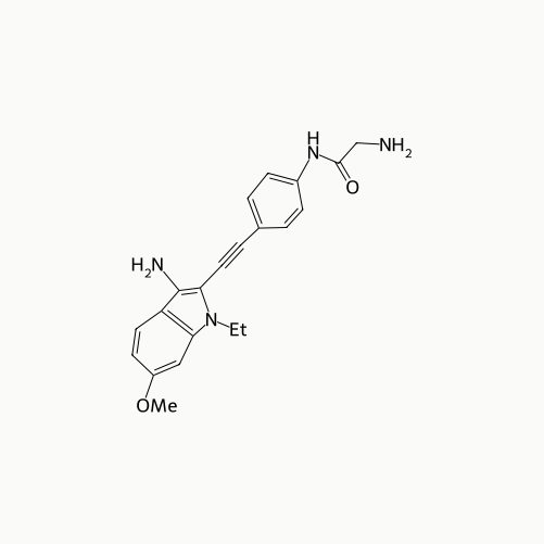 CCn1c(C#Cc2ccc(NC(=O)CN)cc2)c(N)c2ccc(OC)cc21